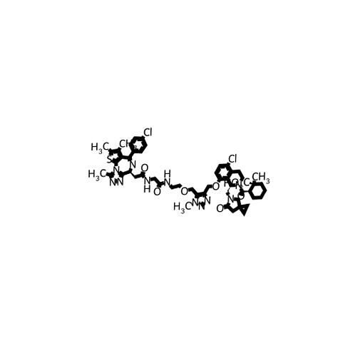 Cc1sc2c(c1C)C(c1ccc(Cl)cc1)=N[C@@H](CC(=O)NCC(=O)NCCOCc1c(COc3ccc(Cl)c4c3[C@@H](CN3CC5(CC5)CC3=O)N(C(=O)[C@@H]3CCCC[C@]3(C)C(=O)O)CC4)nnn1C)c1nnc(C)n1-2